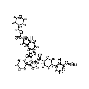 CC(C)(C)OC(=O)N[C@H](CF)C1CCC(C(=O)N2CC[C@@H](C3CCCCC3)[C@@H]2C(=O)Nc2ccc3[nH]c(C(=O)OCC4CCOCC4)cc3c2)CC1